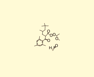 COC(C)OOC(=O)C(CC(C)CC(C)(C)C)C(=O)c1c(C)cc(C)cc1C.O=[PH3]